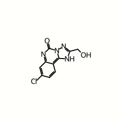 O=c1nc2cc(Cl)ccc2c2[nH]c(CO)nn12